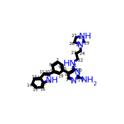 Nc1ncc(-c2cccc(-c3cc4ccccc4[nH]3)c2)c(NCCCN2CCNC2)n1